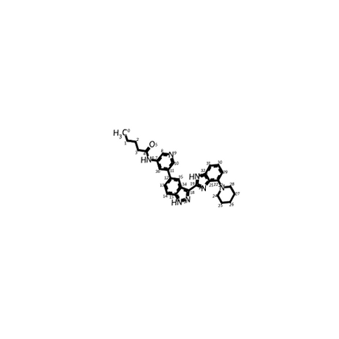 CCCCC(=O)Nc1cncc(-c2ccc3[nH]nc(-c4nc5c(N6CCCCC6)cccc5[nH]4)c3c2)c1